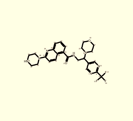 O=C(NCC(c1cnc(C(F)(F)F)nc1)N1CCOCC1)c1cccc2nc(N3CCNCC3)ccc12